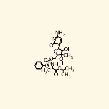 CC(C)OC(=O)[C@H](C)NP(=O)(OC[C@H]1O[C@@H](n2ccc(N)nc2=O)C(O)C1(C)O)Oc1ccccc1